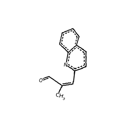 CC(C=O)=Cc1ccc2ccccc2n1